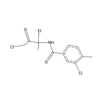 CCC(C)(NC(=O)c1ccc(C)c(Cl)c1)C(=O)CCl